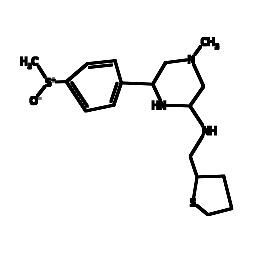 CN1CC(NCC2CCCS2)NC(c2ccc([S+](C)[O-])cc2)C1